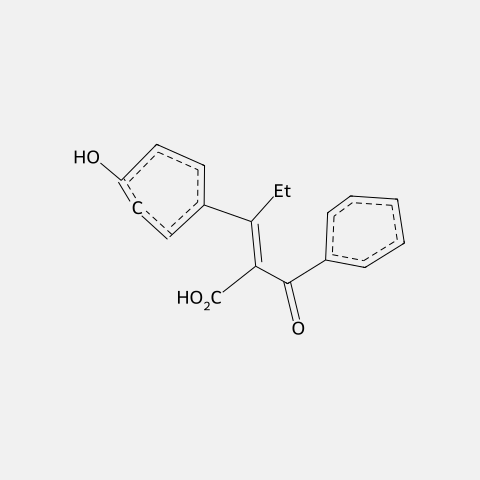 CCC(=C(C(=O)O)C(=O)c1ccccc1)c1ccc(O)cc1